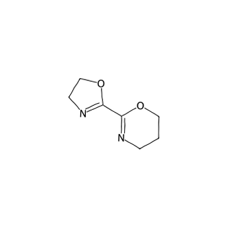 C1CN=C(C2=NCCO2)OC1